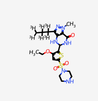 [3H]C([3H])C([3H])([3H])C([3H])([3H])c1nn(C)c2c1NC(c1sc(S(=O)(=O)N3CCNCC3)cc1OCC)NC2=O